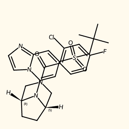 CC(C)(C)CS(=O)(=O)c1cc(N2[C@@H]3CC[C@H]2CN(C(=O)c2ccc(F)cc2Cl)C3)n2ccnc2c1